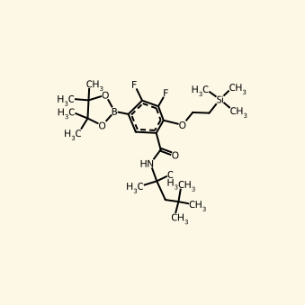 CC(C)(C)CC(C)(C)NC(=O)c1cc(B2OC(C)(C)C(C)(C)O2)c(F)c(F)c1OCC[Si](C)(C)C